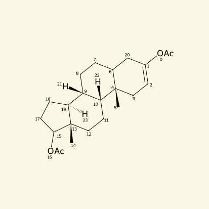 CC(=O)OC1=CC[C@@]2(C)C(CC[C@@H]3[C@H]2CC[C@]2(C)C(OC(C)=O)CC[C@@H]32)C1